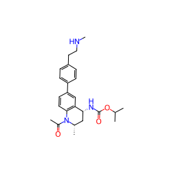 CNCCc1ccc(-c2ccc3c(c2)[C@H](NC(=O)OC(C)C)C[C@H](C)N3C(C)=O)cc1